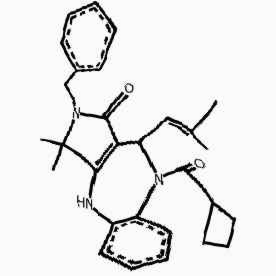 CC(C)=CC1C2=C(Nc3ccccc3N1C(=O)C1CCC1)C(C)(C)N(Cc1ccccc1)C2=O